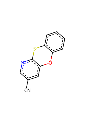 N#Cc1cnc2c(c1)Oc1ccccc1S2